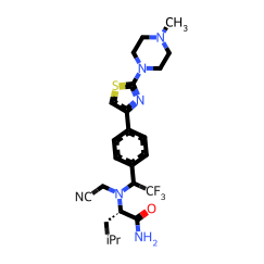 CC(C)C[C@@H](C(N)=O)N(CC#N)C(c1ccc(-c2csc(N3CCN(C)CC3)n2)cc1)C(F)(F)F